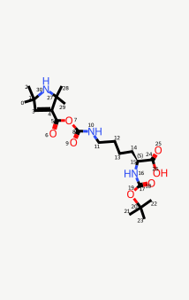 CC1(C)C=C(C(=O)OC(=O)NCCCC[C@H](NC(=O)OC(C)(C)C)C(=O)O)C(C)(C)N1